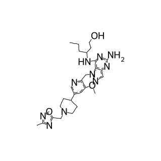 CCCC(CCO)Nc1nc(N)nc2cnn(Cc3ncc(C4CCN(Cc5nc(C)no5)CC4)cc3OC)c12